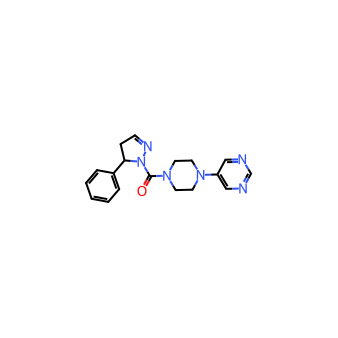 O=C(N1CCN(c2cncnc2)CC1)N1N=CCC1c1ccccc1